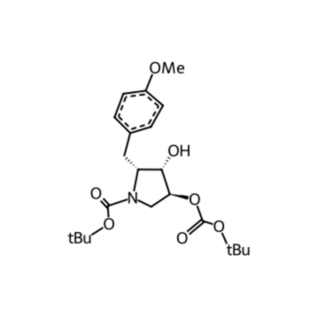 COc1ccc(C[C@@H]2[C@H](O)[C@@H](OC(=O)OC(C)(C)C)CN2C(=O)OC(C)(C)C)cc1